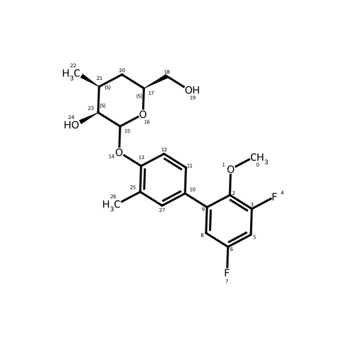 COc1c(F)cc(F)cc1-c1ccc(OC2O[C@H](CO)C[C@H](C)[C@@H]2O)c(C)c1